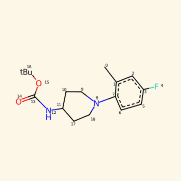 Cc1cc(F)ccc1N1CCC(NC(=O)OC(C)(C)C)CC1